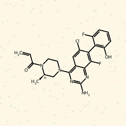 C=CC(=O)N1CCN(c2nc(N)nc3c(F)c(-c4c(O)cccc4F)c(Cl)cc23)C[C@H]1C